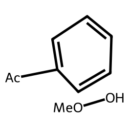 CC(=O)c1ccccc1.COO